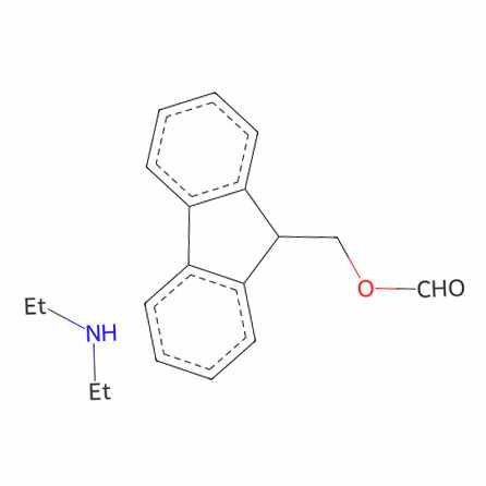 CCNCC.O=COCC1c2ccccc2-c2ccccc21